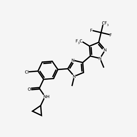 Cn1cc(-c2c(C(F)(F)F)c(C(F)(F)C(F)(F)F)nn2C)nc1-c1ccc(Cl)c(C(=O)NC2CC2)c1